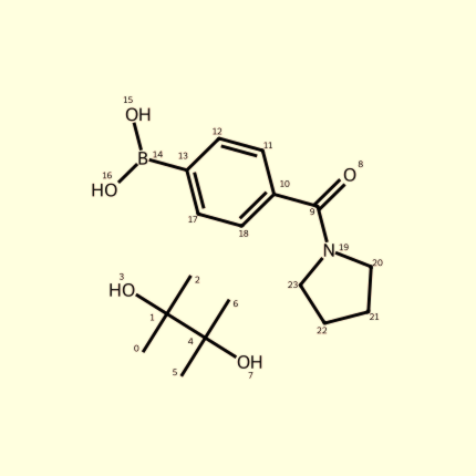 CC(C)(O)C(C)(C)O.O=C(c1ccc(B(O)O)cc1)N1CCCC1